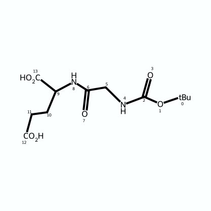 CC(C)(C)OC(=O)NCC(=O)NC(CCC(=O)O)C(=O)O